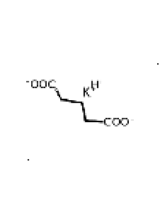 O=C([O-])CCCC(=O)[O-].[H+].[K+]